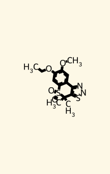 CCOc1cc2c(cc1OC)-c1nnsc1C(C)(C)S2(=O)=O